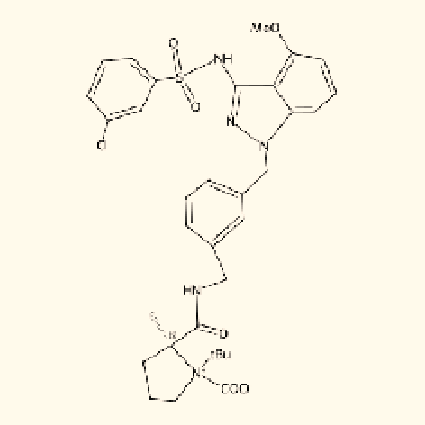 COc1cccc2c1c(NS(=O)(=O)c1cccc(Cl)c1)nn2Cc1cccc(CNC(=O)[C@]2(C)CCC[N+]2(C(=O)[O-])C(C)(C)C)c1